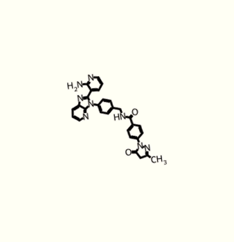 CC1=NN(c2ccc(C(=O)NCc3ccc(-n4c(-c5cccnc5N)nc5cccnc54)cc3)cc2)C(=O)C1